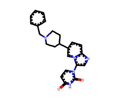 O=c1ccn(-c2cnc3ccc(C4CCN(Cc5ccccc5)CC4)cn23)c(=O)[nH]1